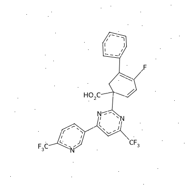 O=C(O)C1(c2nc(-c3ccc(C(F)(F)F)nc3)cc(C(F)(F)F)n2)C=CC(F)=C(c2ccccc2)C1